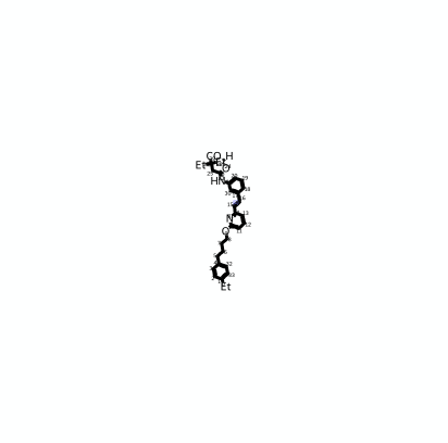 CCc1ccc(CCCCOc2cccc(/C=C/c3cccc(NC(=O)CC(CC)(CC)C(=O)O)c3)n2)cc1